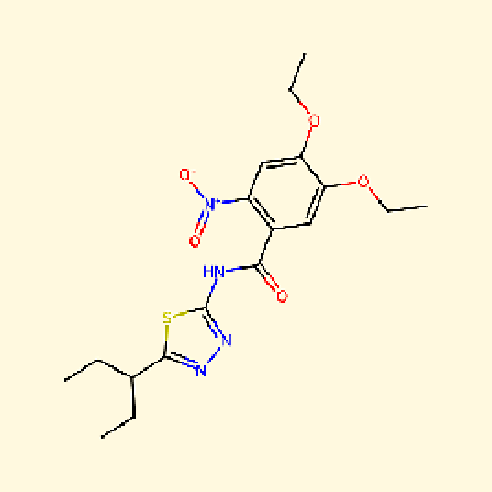 CCOc1cc(C(=O)Nc2nnc(C(CC)CC)s2)c([N+](=O)[O-])cc1OCC